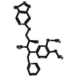 COc1ccc(C(Cc2ccccc2)C(N)[C@H](O)COc2ccc3[nH]nnc3c2)cc1OC